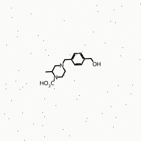 CC1CN(Cc2ccc(CO)cc2)CCN1C(=O)O